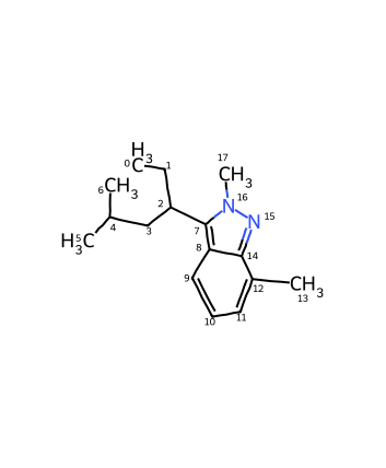 CCC(CC(C)C)c1c2cccc(C)c2nn1C